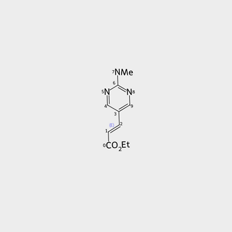 CCOC(=O)/C=C/c1cnc(NC)nc1